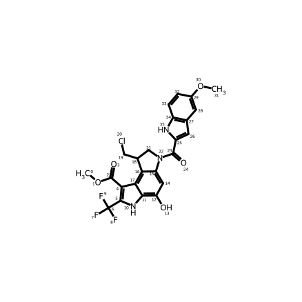 COC(=O)c1c(C(F)(F)F)[nH]c2c(O)cc3c(c12)C(CCl)CN3C(=O)c1cc2cc(OC)ccc2[nH]1